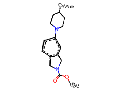 COC1CCN(c2ccc3c(c2)CN(C(=O)OC(C)(C)C)C3)CC1